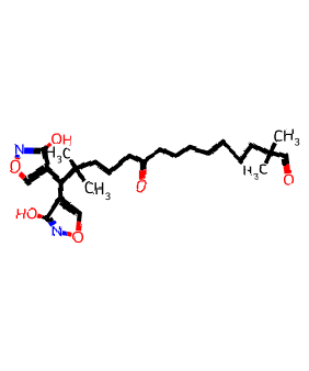 CC(C)(C=O)CCCCCCCC(=O)CCCC(C)(C)C(c1conc1O)c1conc1O